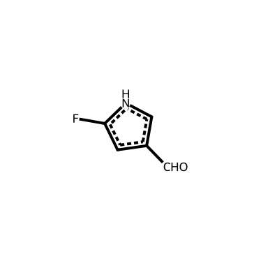 O=Cc1c[nH]c(F)c1